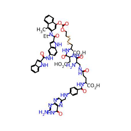 CCN(C(=O)c1cc2cc(NC(=O)c3cc4ccccc4[nH]3)ccc2[nH]1)c1cc(OC(=O)OCCSSCC(NC(=O)C(CC(=O)O)NC(=O)C(N)CNC(=O)CCC(NC(=O)c2ccc(NCc3cnc4nc(N)[nH]c(=O)c4n3)cc2)C(=O)O)C(=O)O)c2ccccc2c1C